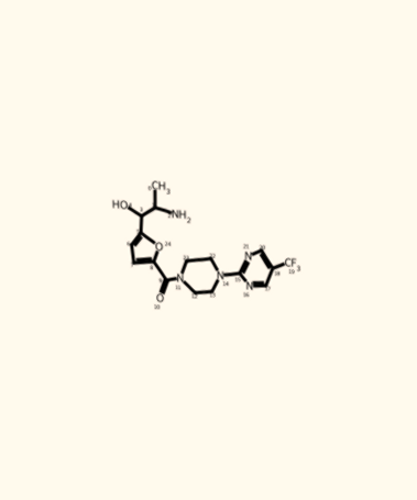 CC(N)C(O)c1ccc(C(=O)N2CCN(c3ncc(C(F)(F)F)cn3)CC2)o1